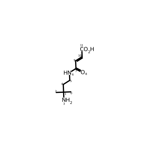 CC(C)(N)CCNC(=O)C=CC(=O)O